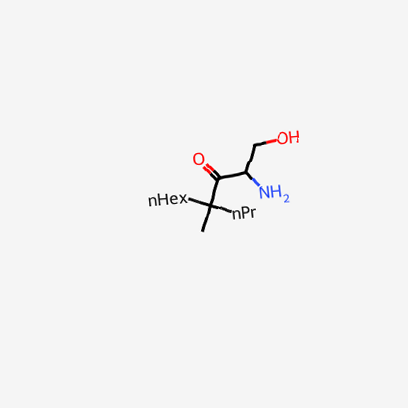 CCCCCCC(C)(CCC)C(=O)C(N)CO